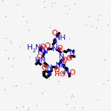 CC(=O)NCCC[C@@H]1NC(=O)[C@H](CCCN(C)C(C)=O)NC(=O)[C@H](CCCN(O)C(C)=O)NC(=O)[C@@H](Cc2ccccc2)NC(=O)[C@H](CC(C)C)NC(=O)[C@H](CC(N)=O)NC1=O